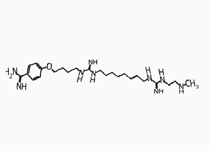 CNCCNC(=N)NCCCCCCCCNC(=N)NCCCCOc1ccc(C(=N)N)cc1